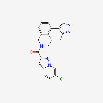 Cc1n[nH]cc1-c1cccc2c1CCN(C(=O)c1cc3ccc(Cl)cn3n1)C2C